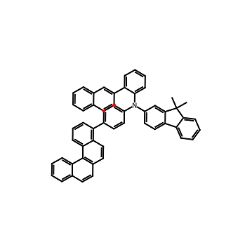 CC1(C)c2ccccc2-c2ccc(N(c3ccc(-c4cccc5c4ccc4ccc6ccccc6c45)cc3)c3ccccc3-c3ccc4ccccc4c3)cc21